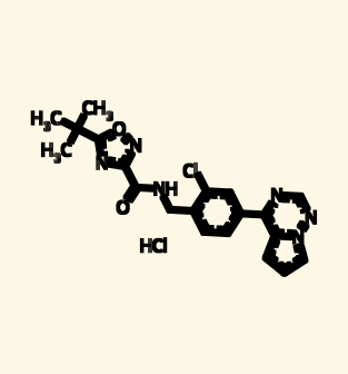 CC(C)(C)c1nc(C(=O)NCc2ccc(-c3ncnn4cccc34)cc2Cl)no1.Cl